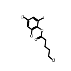 O=C(CCCCCl)Oc1c(Cl)cc(Cl)cc1I